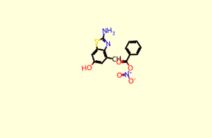 Cc1cc(O)cc2sc(N)nc12.O=C(O[N+](=O)[O-])c1ccccc1